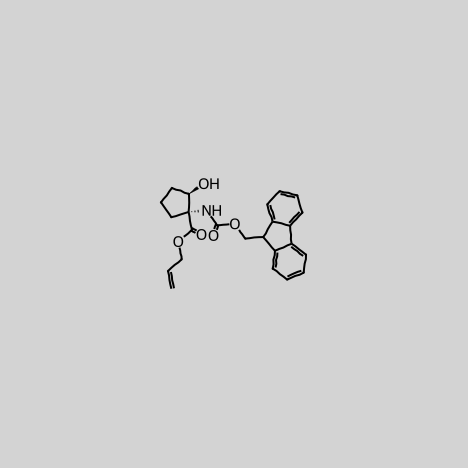 C=CCOC(=O)[C@@]1(NC(=O)OCC2c3ccccc3-c3ccccc32)CCC[C@H]1O